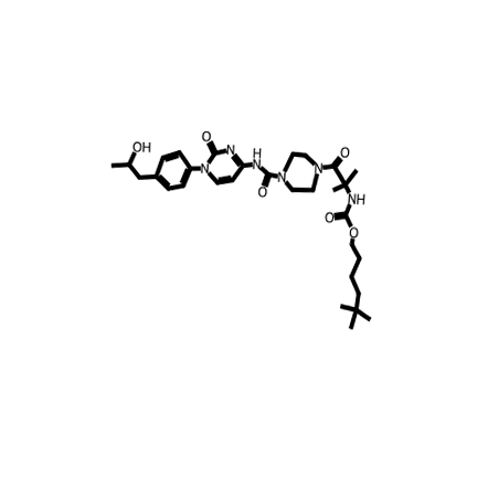 CC(O)Cc1ccc(-n2ccc(NC(=O)N3CCN(C(=O)C(C)(C)NC(=O)OCCCCC(C)(C)C)CC3)nc2=O)cc1